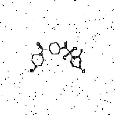 CC(C)N1CCN(C(=O)[C@H]2CC[C@H](NS(=O)(=O)c3ccc(Cl)cc3F)CC2)CC1